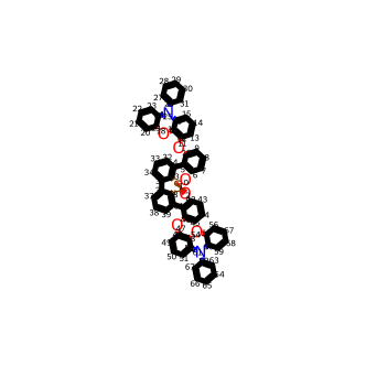 O=S1(=O)c2c(-c3ccccc3Oc3cccc4c3OC3C=CC=CC3N4c3ccccc3)cccc2-c2cccc(-c3ccccc3Oc3cccc4c3OC3C=CC=CC3N4c3ccccc3)c21